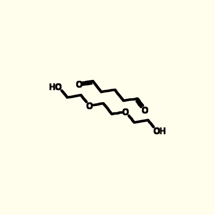 O=CCCCC=O.OCCOCCOCCO